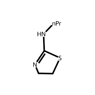 CCCNC1=NCCS1